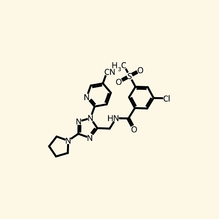 CS(=O)(=O)c1cc(Cl)cc(C(=O)NCc2nc(N3CCCC3)nn2-c2ccc(C#N)cn2)c1